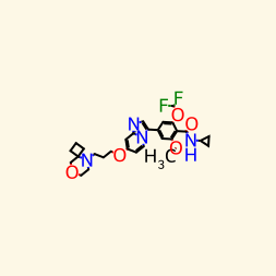 COc1cc(-c2cnc3cc(OCCCN4CCOCC45CCC5)ccn23)cc(OC(F)F)c1C(=O)NC1CC1